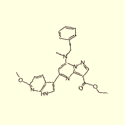 CCOC(=O)c1cnn2c(N(C)Cc3ccccc3)cc(-c3c[nH]c4nc(OC)ccc34)nc12